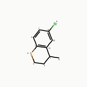 CC1CCSc2ccc(Br)cc21